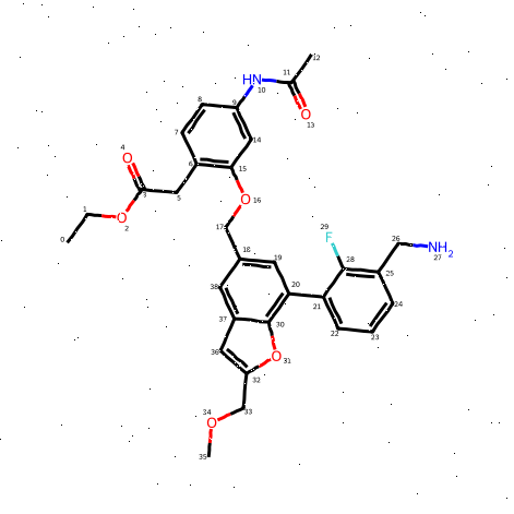 CCOC(=O)Cc1ccc(NC(C)=O)cc1OCc1cc(-c2cccc(CN)c2F)c2oc(COC)cc2c1